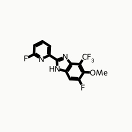 COc1c(F)cc2[nH]c(-c3cccc(F)n3)nc2c1C(F)(F)F